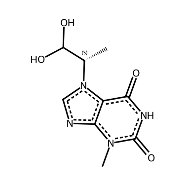 C[C@@H](C(O)O)n1cnc2c1c(=O)[nH]c(=O)n2C